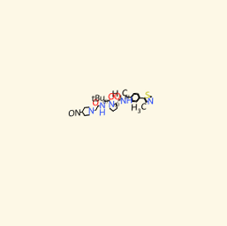 Cc1ncsc1-c1ccc([C@H](C)NC(=O)[C@@H]2CCCN2C(=O)[C@@H](NC(=O)CN2CCC(N=O)CC2)C(C)(C)C)cc1